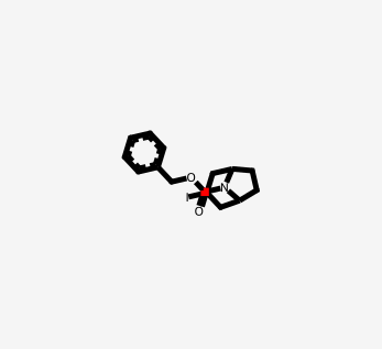 O=C(OCc1ccccc1)N1C2CCC1CC(I)C2